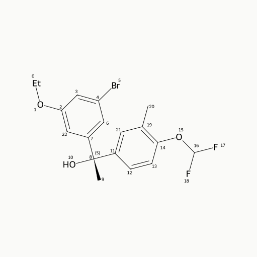 CCOc1cc(Br)cc([C@@](C)(O)c2ccc(OC(F)F)c(C)c2)c1